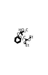 CC(C)(Oc1ccccc1)C(=O)O.CCOC(OCC)C(=O)O